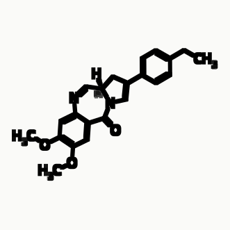 CCc1ccc(C2=CN3C(=O)c4cc(OC)c(OC)cc4N=C[C@@H]3C2)cc1